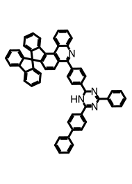 c1ccc(C2=NC(c3ccc(-c4nc5ccccc5c5c6c(ccc45)C4(c5ccccc5-c5ccccc54)c4ccccc4-6)cc3)NC(c3ccc(-c4ccccc4)cc3)=N2)cc1